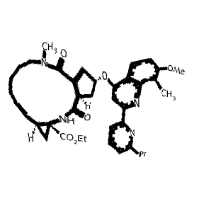 CCOC(=O)[C@@]12C[C@H]1/C=C\CCCCN(C)C(=O)C1C[C@H](Oc3cc(-c4cccc(C(C)C)n4)nc4c(C)c(OC)ccc34)C[C@H]1C(=O)N2